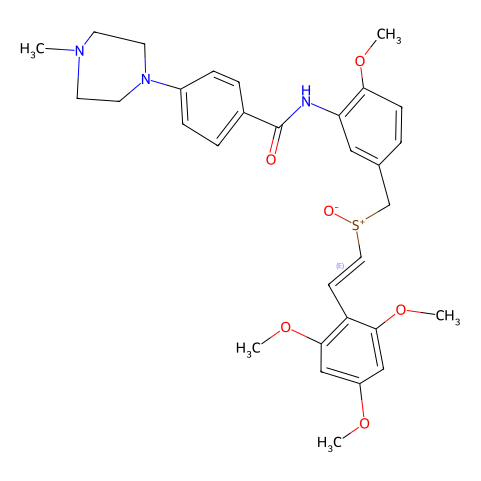 COc1cc(OC)c(/C=C/[S+]([O-])Cc2ccc(OC)c(NC(=O)c3ccc(N4CCN(C)CC4)cc3)c2)c(OC)c1